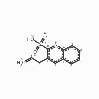 C=CCc1cc2ccccc2nc1S(=O)(=O)O